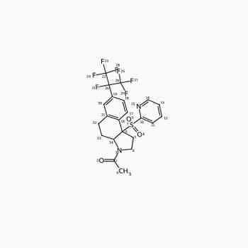 CC(=O)N1CCC2(S(=O)(=O)c3ccccn3)c3ccc(C(F)(C(F)(F)F)C(F)(F)F)cc3CCC12